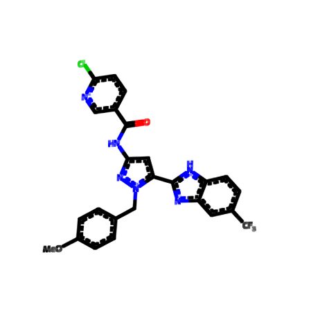 COc1ccc(Cn2nc(NC(=O)c3ccc(Cl)nc3)cc2-c2nc3cc(C(F)(F)F)ccc3[nH]2)cc1